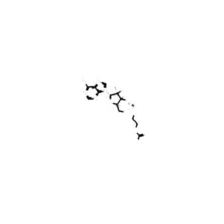 CC(C)(C)C(=O)SCCO[P@]1(=O)OC[C@H]2O[C@@H](n3cnc4c(N)ncnc43)[C@](C)(Cl)[C@@H]2O1